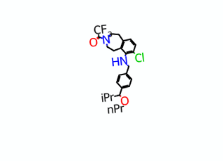 CCCOC(c1ccc(CNc2c(Cl)ccc3c2CCN(C(=O)C(F)(F)F)CC3)cc1)C(C)C